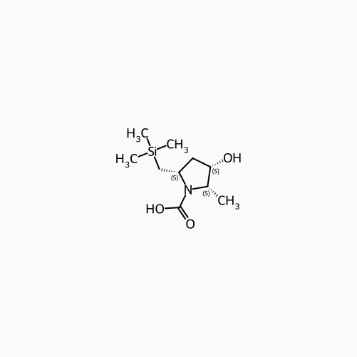 C[C@H]1[C@@H](O)C[C@@H](C[Si](C)(C)C)N1C(=O)O